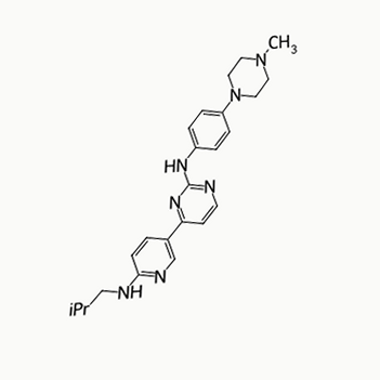 CC(C)CNc1ccc(-c2ccnc(Nc3ccc(N4CCN(C)CC4)cc3)n2)cn1